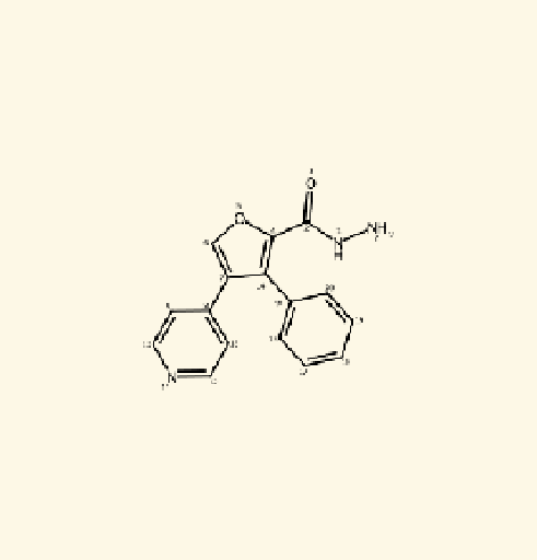 NNC(=O)c1occ(-c2ccncc2)c1-c1ccccc1